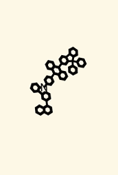 c1ccc(C2(c3ccccc3)c3ccccc3-c3ccc(-c4c5ccccc5c(-c5ccc(-n6c7ccccc7c7cc(-c8cccc9ccccc89)ccc76)cc5)c5ccccc45)cc32)cc1